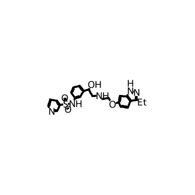 CCc1n[nH]c2cc(OCCNCC(O)c3cccc(NS(=O)(=O)c4cccnc4)c3)ccc12